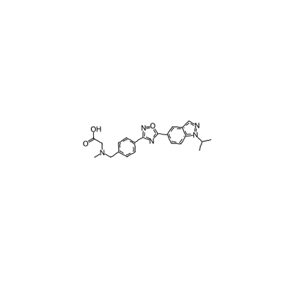 CC(C)n1ncc2cc(-c3nc(-c4ccc(CN(C)CC(=O)O)cc4)no3)ccc21